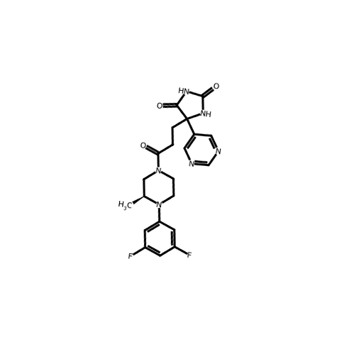 C[C@H]1CN(C(=O)CCC2(c3cncnc3)NC(=O)NC2=O)CCN1c1cc(F)cc(F)c1